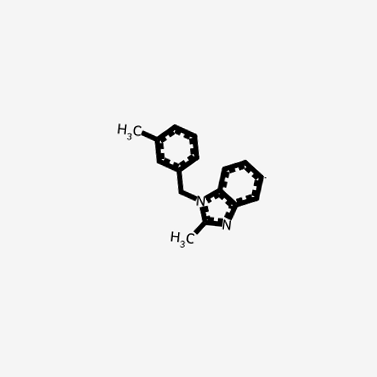 Cc1cccc(Cn2c(C)nc3c[c]ccc32)c1